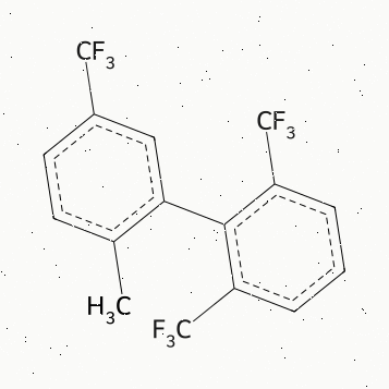 Cc1ccc(C(F)(F)F)cc1-c1c(C(F)(F)F)cccc1C(F)(F)F